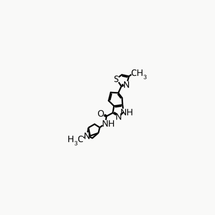 Cc1csc(-c2ccc3c(C(=O)NC4CC5CC4CN5C)n[nH]c3c2)n1